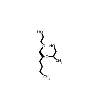 CC(O)CO.CCCCC=COCCO